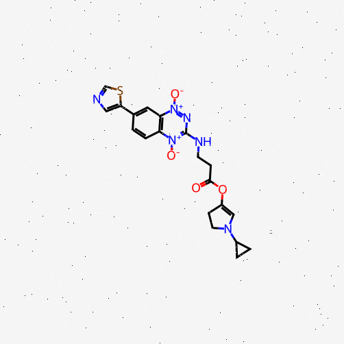 O=C(CCNc1n[n+]([O-])c2cc(-c3cncs3)ccc2[n+]1[O-])OC1=CN(C2CC2)CC1